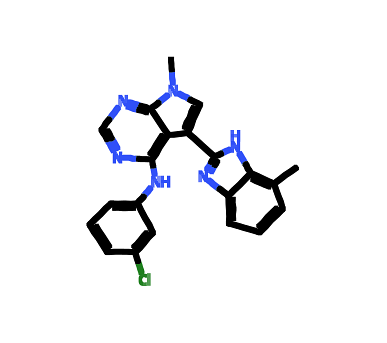 Cc1cccc2nc(-c3cn(C)c4ncnc(Nc5cccc(Cl)c5)c34)[nH]c12